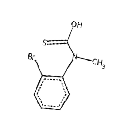 CN(C(O)=S)c1ccccc1Br